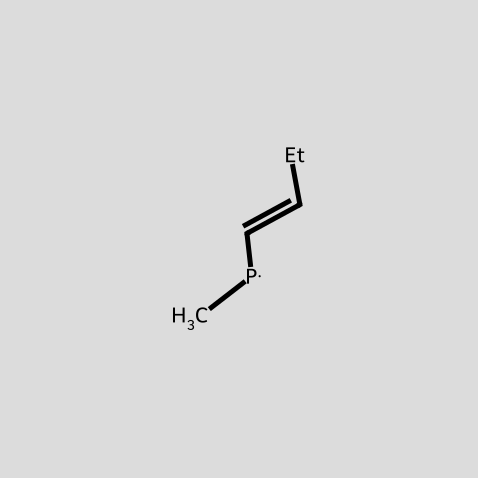 CCC=C[P]C